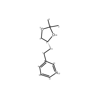 CC1(C)OC[C@@H](CCc2cccnc2)O1